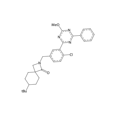 COc1nc(-c2ccccc2)nc(-c2cc(CN3CC4(CCC(C(C)(C)C)CC4)C3=O)ccc2Cl)n1